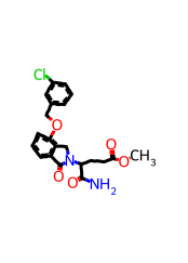 COC(=O)CCC(C(N)=O)N1Cc2c(OCc3cccc(Cl)c3)cccc2C1=O